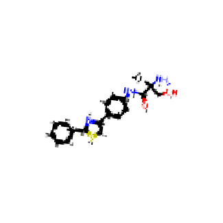 CC(N)(CO)C(=O)Nc1ccc(-c2csc(-c3ccccc3)n2)cc1